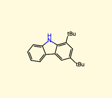 CC(C)(C)c1cc(C(C)(C)C)c2[nH]c3ccccc3c2c1